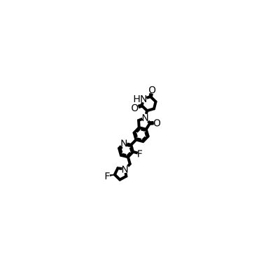 O=C1CCC(N2Cc3cc(-c4nccc(CN5CC[C@@H](F)C5)c4F)ccc3C2=O)C(=O)N1